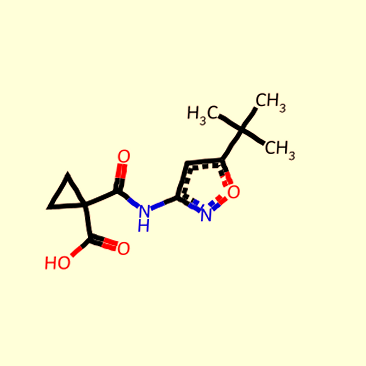 CC(C)(C)c1cc(NC(=O)C2(C(=O)O)CC2)no1